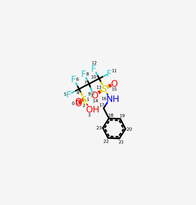 O=S(=O)(O)C(F)(F)C(F)(F)C(F)(F)S(=O)(=O)NCc1ccccc1